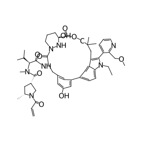 C=CC(=O)N1C[C@@H](C(=O)N(C)[C@H](C(=O)N[C@H]2Cc3cc(O)cc(c3)-c3ccc4c(c3)c(c(-c3cccnc3COC)n4CC)CC(C)(C)COC(=O)[C@@]3(O)CCCN(N3)C2=O)C(C)C)C[C@H]1C